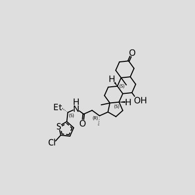 CC[C@H](NC(=O)C[C@@H](C)C1CC[C@H]2C3C(O)CC4CC(=O)CCC4(C)[C@H]3CCC12C)c1ccc(Cl)s1